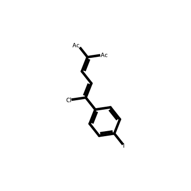 CC(=O)C(=C/C=C(\Cl)c1ccc(I)cc1)C(C)=O